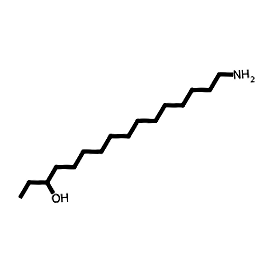 CCC(O)CCCCCCCCCCCCCN